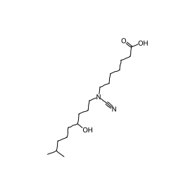 CC(C)CCCC(O)CCCN(C#N)CCCCCCC(=O)O